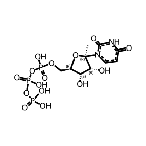 C[C@@]1(n2ccc(=O)[nH]c2=O)O[C@H](COP(=O)(O)OP(=O)(O)OP(=O)(O)O)[C@@H](O)[C@H]1O